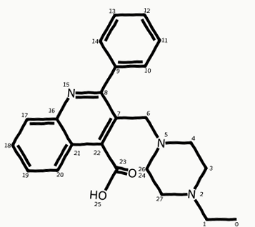 CCN1CCN(Cc2c(-c3ccccc3)nc3ccccc3c2C(=O)O)CC1